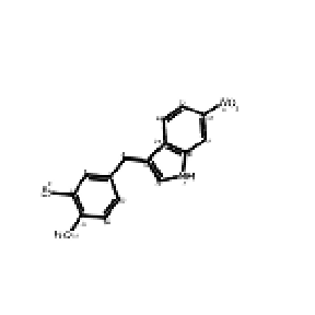 CCc1cc(Cc2c[nH]c3cc([N+](=O)[O-])ccc23)ccc1O